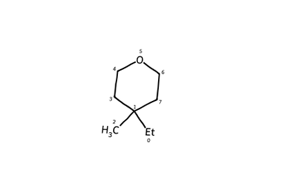 CCC1(C)CCOCC1